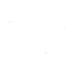 CC(C)COc1ncccc1OC[C@H]1CCCNC1